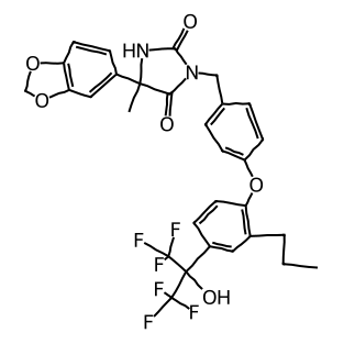 CCCc1cc(C(O)(C(F)(F)F)C(F)(F)F)ccc1Oc1ccc(CN2C(=O)NC(C)(c3ccc4c(c3)OCO4)C2=O)cc1